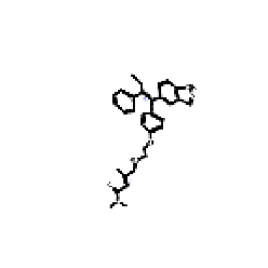 CC/C(=C(/c1ccc(OCCNC/C(C)=C/C(=O)N(C)C)cc1)c1ccc2[nH]ncc2c1)c1ccccc1